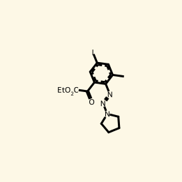 CCOC(=O)C(=O)c1cc(I)cc(C)c1/N=N/N1CCCC1